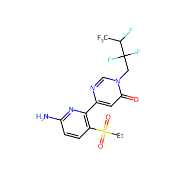 CCS(=O)(=O)c1ccc(N)nc1-c1cc(=O)n(CC(F)(F)C(F)C(F)(F)F)cn1